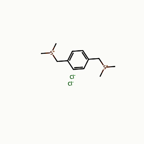 C[S+](C)Cc1ccc(C[S+](C)C)cc1.[Cl-].[Cl-]